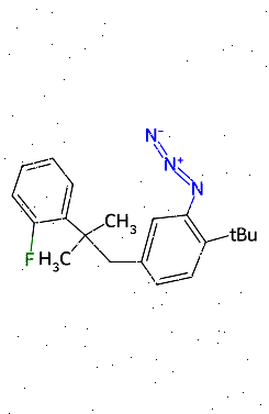 CC(C)(C)c1ccc(CC(C)(C)c2ccccc2F)cc1N=[N+]=[N-]